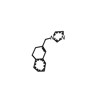 C1=C(Cn2ccnc2)CCc2ccccc21